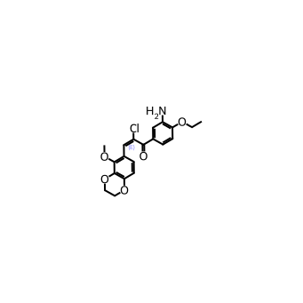 CCOc1ccc(C(=O)/C(Cl)=C\c2ccc3c(c2OC)OCCO3)cc1N